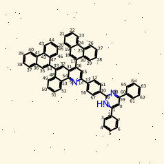 C1=C(c2ccccc2)NC(c2ccc(-c3cc(-c4cc5ccccc5c5ccccc45)c4cc(-c5cc6ccccc6c6ccccc56)c5ccccc5c4n3)cc2)N=C1c1ccccc1